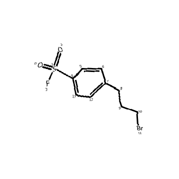 O=S(=O)(F)c1ccc(CCCBr)cc1